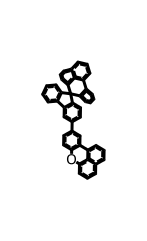 c1ccc2c(c1)-c1cc(-c3ccc4c(c3)-c3cccc5cccc(c35)O4)ccc1C21c2ccccc2-c2cccc3cccc1c23